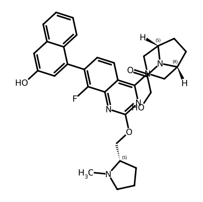 CN1CCC[C@H]1COc1nc(N2C[C@H]3CC[C@@H](C2)N3C(=O)CO)c2ccc(-c3cc(O)cc4ccccc34)c(F)c2n1